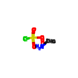 NC=O.O=S(=O)(O)Cl